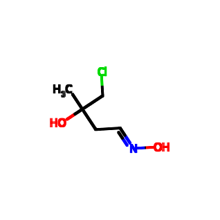 CC(O)(CCl)C/C=N/O